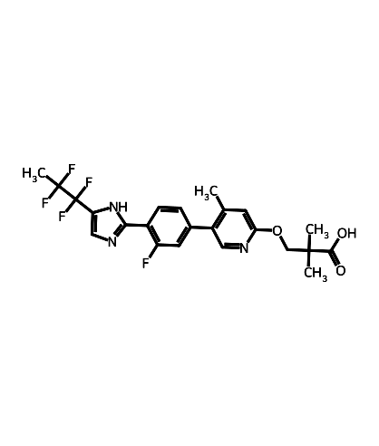 Cc1cc(OCC(C)(C)C(=O)O)ncc1-c1ccc(-c2ncc(C(F)(F)C(C)(F)F)[nH]2)c(F)c1